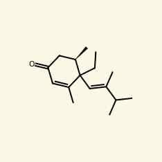 CCC1(/C=C(\C)C(C)C)C(C)=CC(=O)C[C@H]1C